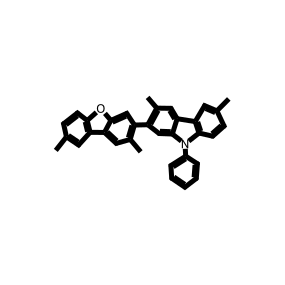 Cc1ccc2oc3cc(-c4cc5c(cc4C)c4cc(C)ccc4n5-c4ccccc4)c(C)cc3c2c1